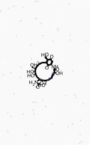 C/C1=C(\OC(N)=O)[C@@H](CO)/C=C\C=C(/O)C(=O)NC2=CC(=O)C(CO)=C(C[C@@H](C)C[C@H](CO)[C@H](O)[C@@H](O)C1)C2=O